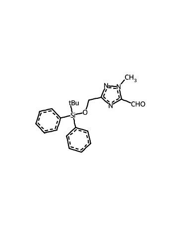 Cn1nc(CO[Si](c2ccccc2)(c2ccccc2)C(C)(C)C)nc1C=O